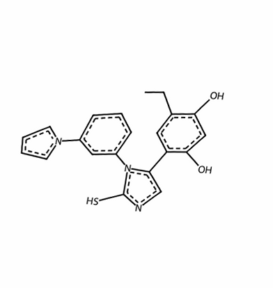 CCc1cc(-c2cnc(S)n2-c2cccc(-n3cccc3)c2)c(O)cc1O